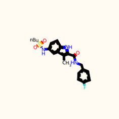 CCCCS(=O)(=O)Nc1ccc2[nH]c(C(=O)NCc3ccc(F)cc3)c(C)c2c1